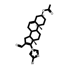 CC(=O)O[C@H]1CC[C@@]2(C)C(=CCC3C2CC[C@]2(C)C(n4cnc(Br)c4)=C(C=O)CC32)C1